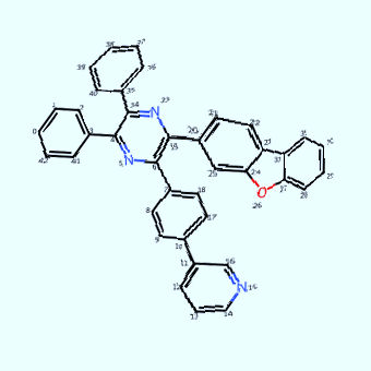 c1ccc(-c2nc(-c3ccc(-c4cccnc4)cc3)c(-c3ccc4c(c3)oc3ccccc34)nc2-c2ccccc2)cc1